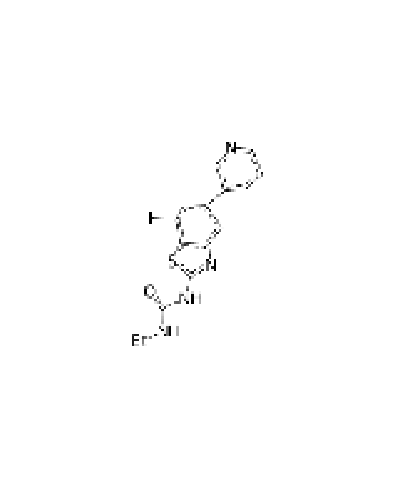 CCNC(=O)Nc1nc2cc(-c3cccnc3)cc(I)c2s1